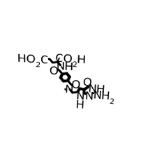 CN(Cc1cc2c(=O)[nH]c(N)nc2[nH]1)C(=O)c1ccc(C(=O)N[C@@H](CCC(=O)O)C(=O)O)cc1